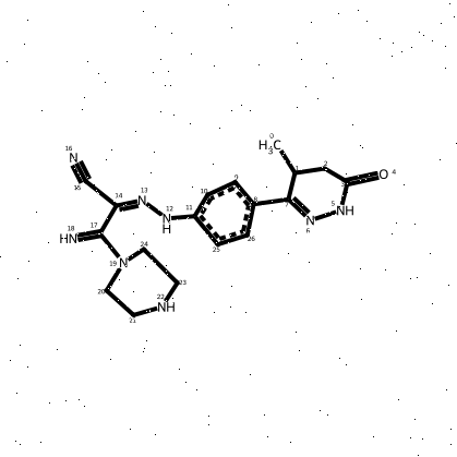 CC1CC(=O)NN=C1c1ccc(N/N=C(/C#N)C(=N)N2CCNCC2)cc1